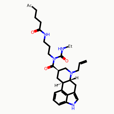 C=CCN1C[C@H](C(=O)N(CCCNC(=O)CCCC(C)=O)C(=O)NCC)C[C@@H]2c3cccc4[nH]cc(c34)C[C@H]21